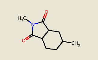 CC1CCC2C(=O)N(C)C(=O)C2C1